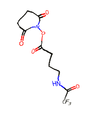 O=C(CCCNC(=O)C(F)(F)F)ON1C(=O)CCC1=O